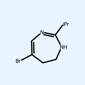 CC(C)C1=NC=C(Br)CCN1